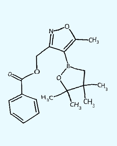 Cc1onc(COC(=O)c2ccccc2)c1B1CC(C)(C)C(C)(C)O1